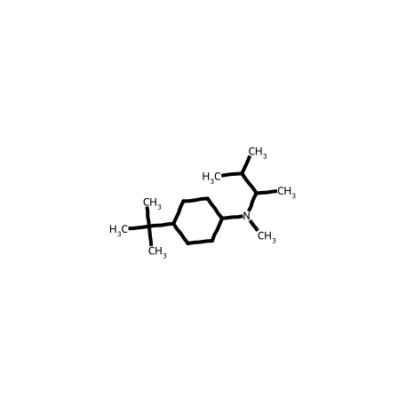 CC(C)C(C)N(C)C1CCC(C(C)(C)C)CC1